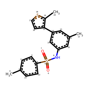 Cc1ccc(S(=O)(=O)Nc2cc(C)cc(-c3ccsc3C)c2)cc1